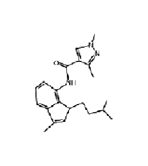 CC1=CC(CCC(C)C)c2c(NC(=O)c3cn(C)nc3C)cccc21